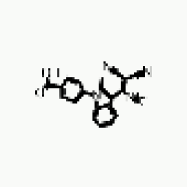 [C-]#[N+]C(=C(C#N)C#N)c1c(C)n(-c2ccc(C(=O)O)cc2)c2ccccc12